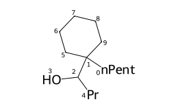 CCCCCC1([CH](O)[Pr])CCCCC1